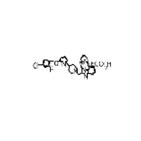 CCN1CCC[C@@H]1Cn1c(CN2CCC(c3cccc(OCc4ccc(Cl)cc4F)n3)CC2)nc2ccc(C(=O)O)cc21